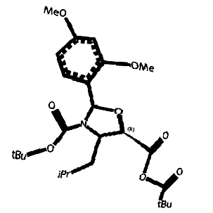 COc1ccc(C2O[C@@H](C(=O)OC(=O)C(C)(C)C)C(CC(C)C)N2C(=O)OC(C)(C)C)c(OC)c1